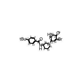 CC(C)(C)c1ccc(C(=O)NC2CCCN(c3cc(Br)c(=O)[nH]n3)C2)cc1